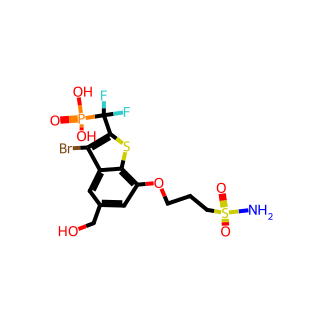 NS(=O)(=O)CCCOc1cc(CO)cc2c(Br)c(C(F)(F)P(=O)(O)O)sc12